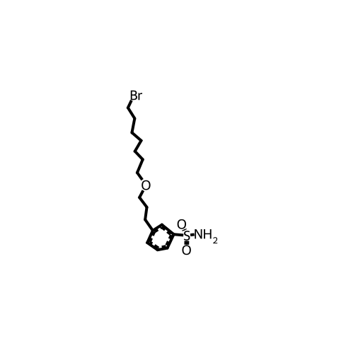 NS(=O)(=O)c1cccc(CCCOCCCCCCCBr)c1